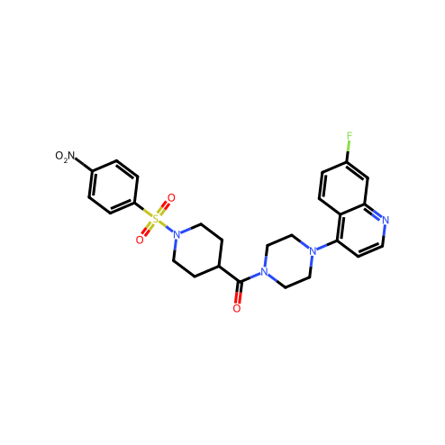 O=C(C1CCN(S(=O)(=O)c2ccc([N+](=O)[O-])cc2)CC1)N1CCN(c2ccnc3cc(F)ccc23)CC1